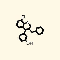 Oc1cccc(-c2c(Cc3ccccc3)cnc3c(Cl)cccc23)c1